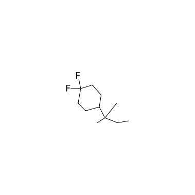 CCC(C)(C)C1CCC(F)(F)CC1